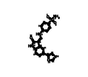 NS(=O)(=O)c1ccc(NC=C2C(=O)Nc3ccc(-c4cnco4)cc32)cc1